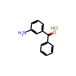 Cl.Nc1cccc(C(=O)c2ccccc2)c1